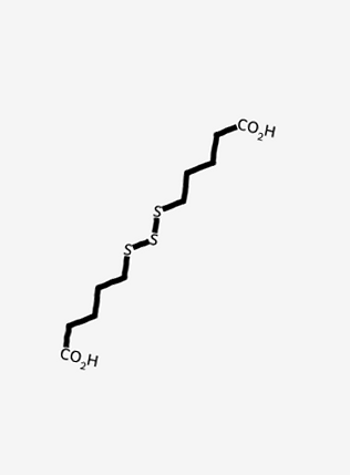 O=C(O)CCCCSSSCCCCC(=O)O